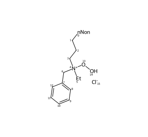 CCCCCCCCCCCC[N+](CC)(Cc1ccccc1)OO.[Cl-]